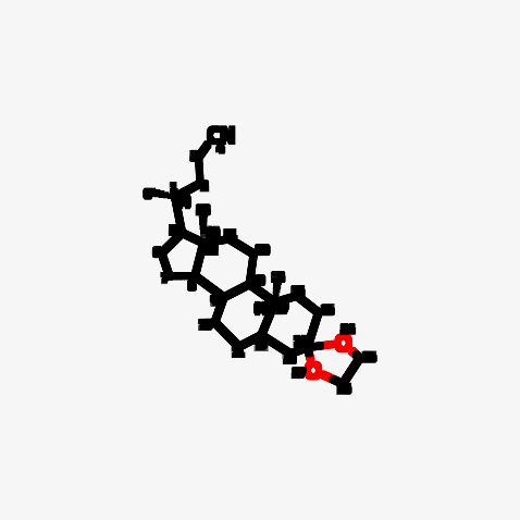 C[C@H](CCC#N)C1CCC2C3CCC4CC5(CC[C@]4(C)C3CC[C@@]21C)OCCO5